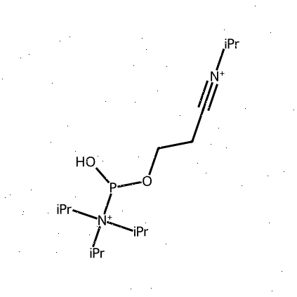 CC(C)[N+]#CCCOP(O)[N+](C(C)C)(C(C)C)C(C)C